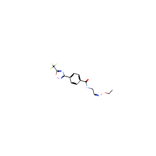 CCO/N=C\CNC(=O)c1ccc(-c2noc(C(F)(F)F)n2)cc1